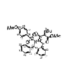 CCCCC(C(=O)OC)C(=O)N(Cc1ccccc1)N(Cc1ccccc1)S(=O)(=O)c1ccc(OC)cc1